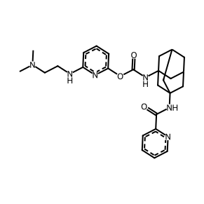 CN(C)CCNc1cccc(OC(=O)NC23CC4CC(C2)CC(NC(=O)c2ccccn2)(C4)C3)n1